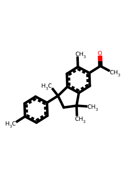 CC(=O)c1cc2c(cc1C)C(C)(c1ccc(C)cc1)CC2(C)C